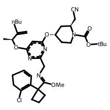 C=C(CCCC)[C@H](C)Oc1cc(O[C@H]2CCN(C(=O)OC(C)(C)C)[C@H](CC#N)C2)nc(C/N=C(\OC)C2(C3=C(Cl)CCC=C3)CCC2)n1